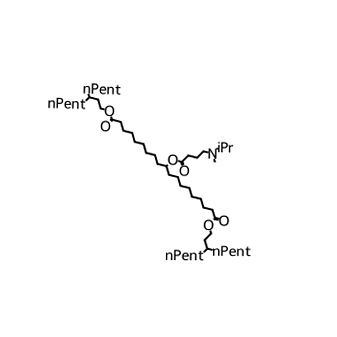 CCCCCC(CCCCC)CCOC(=O)CCCCCCCCC(CCCCCCCCC(=O)OCCC(CCCCC)CCCCC)OC(=O)CCCN(C)C(C)C